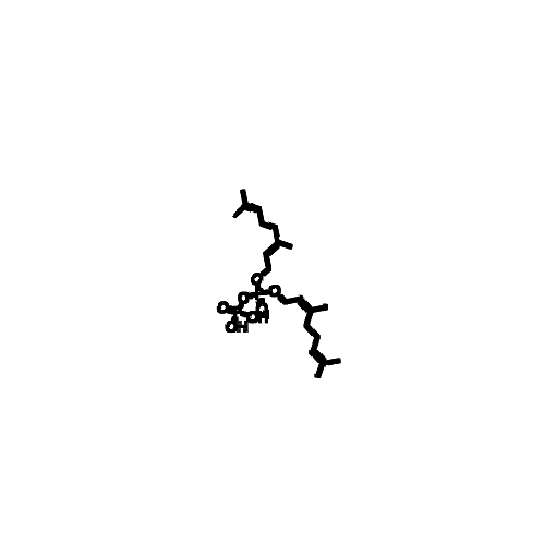 CC(C)=CCCC(C)=CCOP(=O)(OCC=C(C)CCC=C(C)C)OP(=O)(O)O